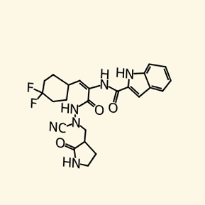 N#CN(CC1CCNC1=O)NC(=O)/C(=C\C1CCC(F)(F)CC1)NC(=O)c1cc2ccccc2[nH]1